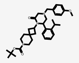 COc1ccc(CN2CC(=O)N(C3CC4(CCN(C(=O)OC(C)(C)C)CC4)C3)C(c3ccccc3C(C)C)C2)cc1